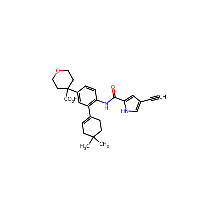 C#Cc1c[nH]c(C(=O)Nc2ccc(C3(C(=O)O)CCOCC3)cc2C2=CCC(C)(C)CC2)c1